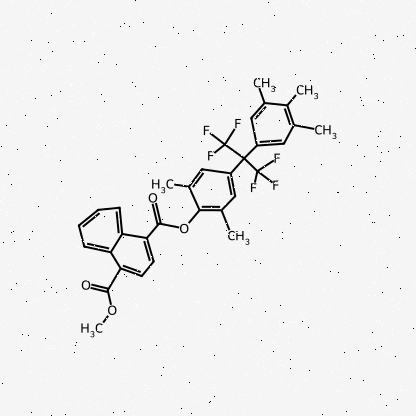 COC(=O)c1ccc(C(=O)Oc2c(C)cc(C(c3cc(C)c(C)c(C)c3)(C(F)(F)F)C(F)(F)F)cc2C)c2ccccc12